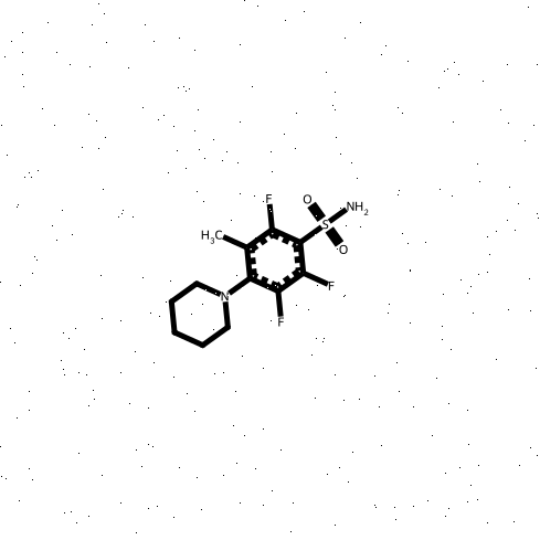 Cc1c(F)c(S(N)(=O)=O)c(F)c(F)c1N1CCCCC1